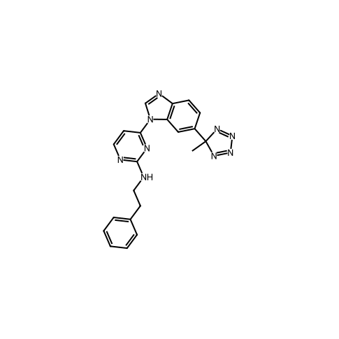 CC1(c2ccc3ncn(-c4ccnc(NCCc5ccccc5)n4)c3c2)N=NN=N1